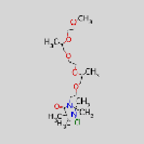 COCCOC(C)COCCOC(C)COCCN1C(=O)C(C)(C)N(Cl)C1(C)C